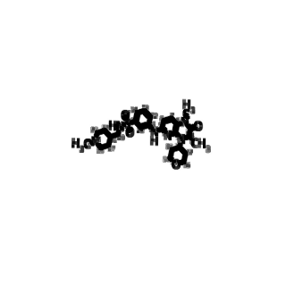 C[C@@H]1C(=O)N(C)c2ccc(Nc3cccc(S(=O)(=O)NCC4CCN(C)CC4)c3)nc2N1C1CCOCC1